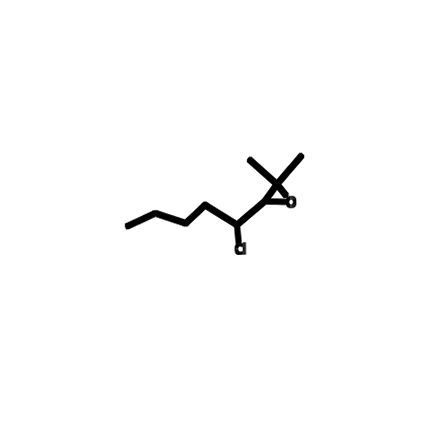 CCCCC(Cl)C1OC1(C)C